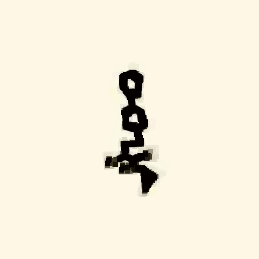 CC(=O)C(CCc1ccc(-c2ccccc2)cc1)C(=S)NC1CC1